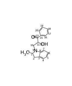 CC1Cc2ccccc2N1CC(O)C(=O)c1ccccc1